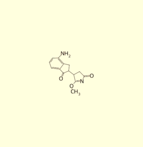 COC1=NC(=O)CC1C1Cc2c(N)cccc2C1=O